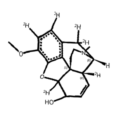 [2H]c1c([2H])c2c3c(c1OC)OC1([2H])C(O)C=C[C@@]4([2H])[C@H](N(C)CC[C@]314)C2([2H])[2H]